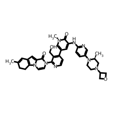 CC1=Cc2cc3c(=O)n(-c4nccc(-c5cc(Nc6ccc(N7CCN(C8COC8)C[C@@H]7C)cn6)c(=O)n(C)c5)c4CO)ccn3c2CC1